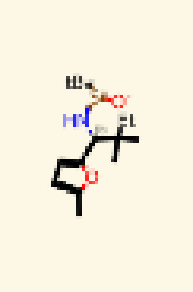 CCC(C)(C)[C@@H](N[S+]([O-])C(C)(C)C)c1ccc(C)o1